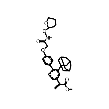 C=C(C(=O)OC)c1ccc(-c2ccc(OCC(=O)NOC3CCCCO3)cc2)c(C23CC4CC(CC(C4)C2)C3)c1